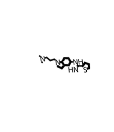 CN(C)CCCn1ccc2cc(NC(=N)c3cccs3)ccc21